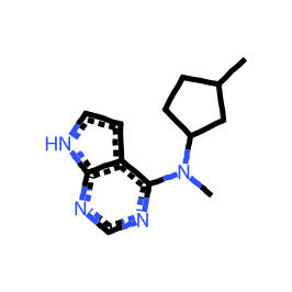 CC1CCC(N(C)c2ncnc3[nH]ccc23)C1